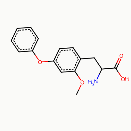 COc1cc(Oc2ccccc2)ccc1CC(N)C(=O)O